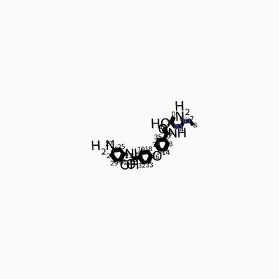 C=C(O)/C(=C\C(N)=C/C)NC(=O)c1ccc(Oc2ccc(C(=O)Nc3cc(N)ccc3O)cc2)cc1